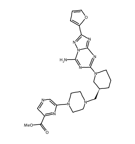 COC(=O)c1cncc(N2CCN(C[C@@H]3CCCN(c4nc(N)n5nc(-c6ccco6)nc5n4)C3)CC2)n1